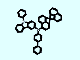 c1ccc(-c2ccc(N(c3ccc4c(c3)c3ccccc3n4-c3ccccc3)c3ccc4c5c(cccc35)C43c4cccc5cccc3c45)cc2)cc1